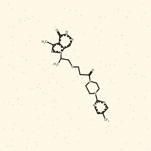 Cc1nn(C(C)COCCC(=O)N2CCN(c3ncc(C(F)(F)F)cn3)CC2)c2cn[nH]c(=O)c12